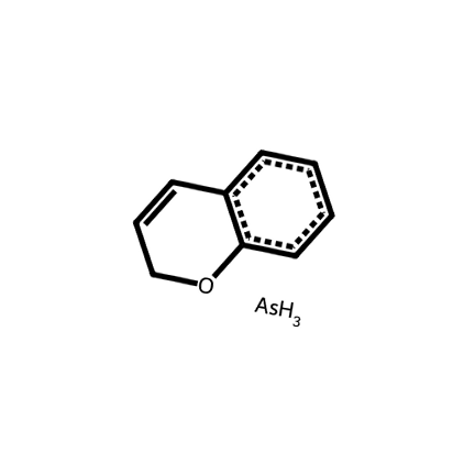 C1=Cc2ccccc2OC1.[AsH3]